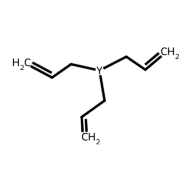 C=C[CH2][Y]([CH2]C=C)[CH2]C=C